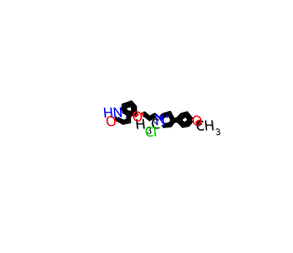 COc1ccc(C2CC[N+](C)(CCCOc3cccc4c3CCC(=O)N4)CC2)cc1.[Cl-]